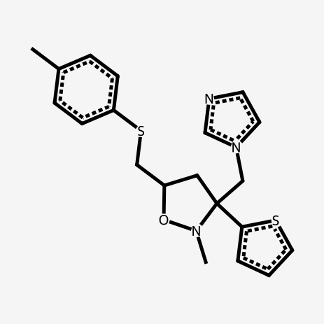 Cc1ccc(SCC2CC(Cn3ccnc3)(c3cccs3)N(C)O2)cc1